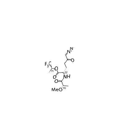 CO[C@@H](C)C(=O)N[C@@H](CCC(=O)C=[N+]=[N-])C(=O)O[C@@H](C)C(F)(F)F